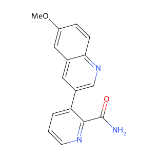 COc1ccc2ncc(-c3cccnc3C(N)=O)cc2c1